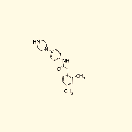 Cc1ccc(CC(=O)Nc2ccc(N3CCNCC3)cc2)c(C)c1